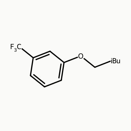 CCC(C)COc1cccc(C(F)(F)F)c1